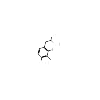 Cc1c(C(=O)O)ccc(CC(N)C(C)C)c1Br